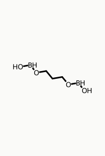 OBOCCCOBO